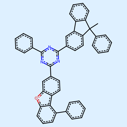 CC1(c2ccccc2)c2ccccc2-c2cc(-c3nc(-c4ccccc4)nc(-c4ccc5c(c4)oc4cccc(-c6ccccc6)c45)n3)ccc21